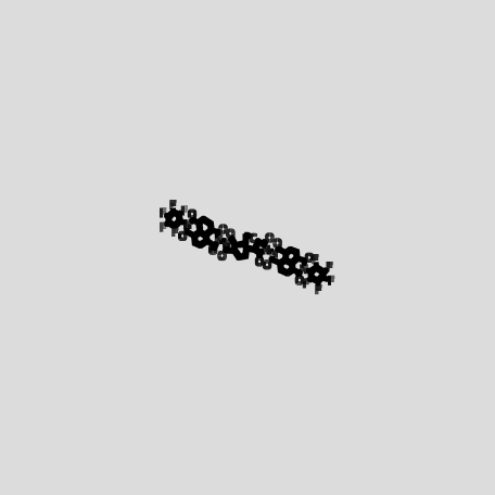 O=C1c2ccc3c4c(ccc(c24)C(=O)N1c1c(F)c(F)c(F)c(F)c1F)C(=O)N(n1c(=O)c2ccc4c(ccc5c(=O)n(N6C(=O)c7ccc8c9c(ccc(c79)C6=O)C(=O)N(c6c(F)c(F)c(F)c(F)c6F)C8=O)c(=O)c54)c2c1=O)C3=O